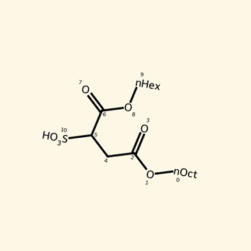 CCCCCCCCOC(=O)CC(C(=O)OCCCCCC)S(=O)(=O)O